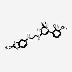 Cc1nc2ccc(NCCNC3C=C(c4cccc(C)c4C)N=C(N)N3)cc2s1